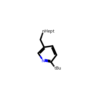 CCCCCCCCc1ccc(C(C)(C)C)nc1